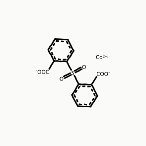 O=C([O-])c1ccccc1S(=O)(=O)c1ccccc1C(=O)[O-].[Co+2]